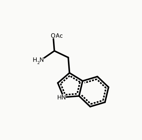 CC(=O)OC(N)Cc1c[nH]c2ccccc12